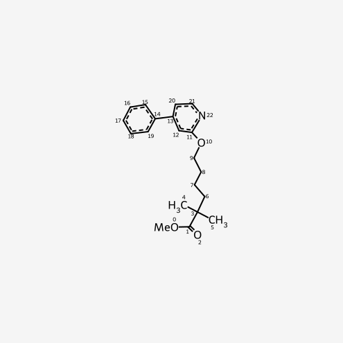 COC(=O)C(C)(C)CCCCOc1cc(-c2ccccc2)ccn1